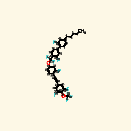 CCCCCc1ccc(-c2ccc(C(F)(F)Oc3ccc(C#Cc4cc(F)c(OC(F)(F)F)c(F)c4)c(F)c3)c(F)c2)c(F)c1